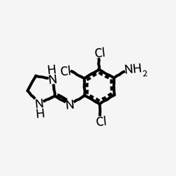 Nc1cc(Cl)c(N=C2NCCN2)c(Cl)c1Cl